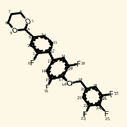 Fc1cc(C2OCCCO2)ccc1-c1cc(F)c(OCc2cc(F)c(F)c(F)c2)c(F)c1